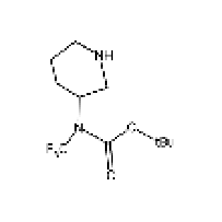 CC(C)(C)OC(=O)N(C1CCCNC1)C(F)(F)F